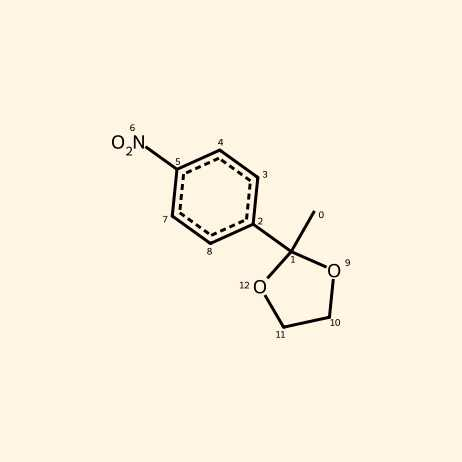 CC1(c2ccc([N+](=O)[O-])cc2)OCCO1